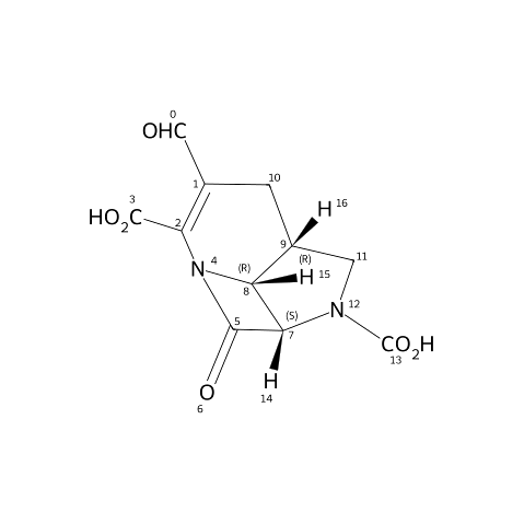 O=CC1=C(C(=O)O)N2C(=O)[C@@H]3[C@H]2[C@H](C1)CN3C(=O)O